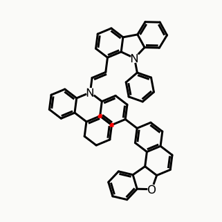 C1=CCCC(c2ccccc2N(C=Cc2cccc3c4ccccc4n(-c4ccccc4)c23)c2ccc(-c3ccc4c(c3)C3c5ccccc5OC3C=C4)cc2)=C1